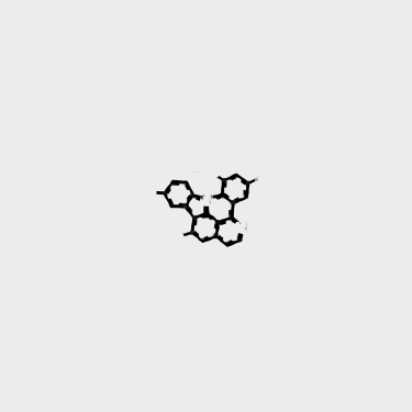 Cc1ccc2c(c1)c1c(F)cc3ccnc4c5cc(C)cc(C)c5n2c1c34